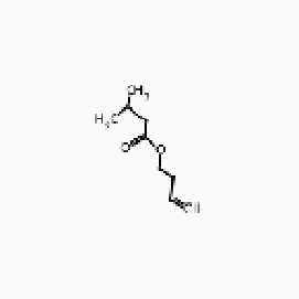 [CH]=CCCOC(=O)CC(C)C